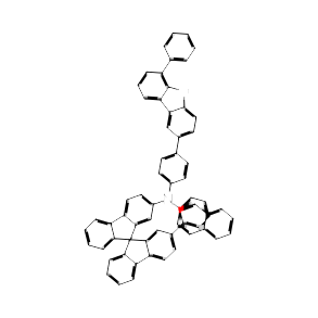 c1ccc(-c2ccc3c(c2)C2(c4ccccc4-3)c3ccccc3-c3ccc(N(c4ccc(-c5ccc6oc7c(-c8ccccc8)cccc7c6c5)cc4)c4ccc5ccccc5c4)cc32)cc1